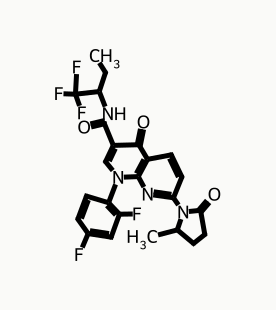 CCC(NC(=O)c1cn(-c2ccc(F)cc2F)c2nc(N3C(=O)CCC3C)ccc2c1=O)C(F)(F)F